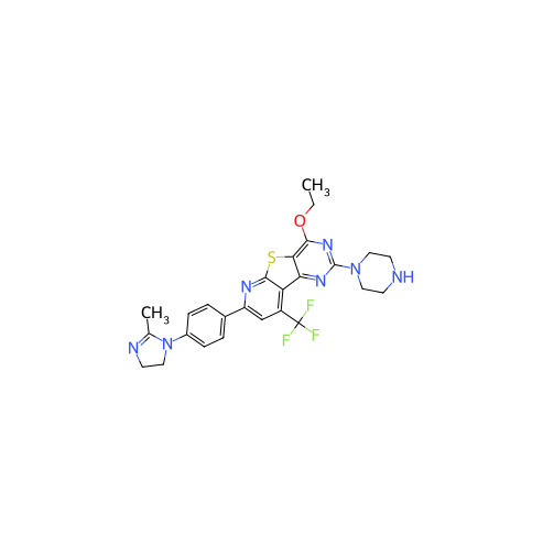 CCOc1nc(N2CCNCC2)nc2c1sc1nc(-c3ccc(N4CCN=C4C)cc3)cc(C(F)(F)F)c12